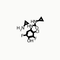 NC1CC1.O=C(Nc1cc(F)c(O)c(F)c1Cl)NC1CC1